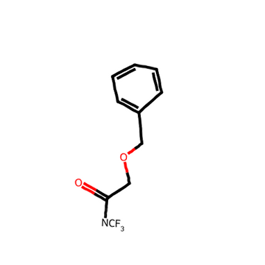 O=C(COCc1ccccc1)NC(F)(F)F